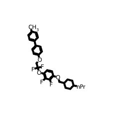 CCCC1CCC(COc2ccc(OC(F)(F)COc3ccc(-c4ccc(C)cc4)cc3)c(F)c2F)CC1